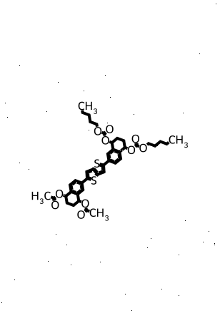 CCCCCOC(=O)OC1CCC(OC(=O)OCCCCC)c2cc(-c3cc4sc(-c5ccc6c(c5)C(OC(C)=O)CCC6OC(C)=O)cc4s3)ccc21